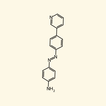 Nc1ccc(N=Nc2ccc(-c3cccnc3)cc2)cc1